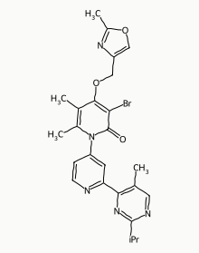 Cc1nc(COc2c(C)c(C)n(-c3ccnc(-c4nc(C(C)C)ncc4C)c3)c(=O)c2Br)co1